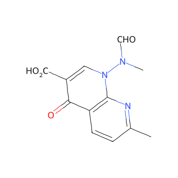 Cc1ccc2c(=O)c(C(=O)O)cn(N(C)C=O)c2n1